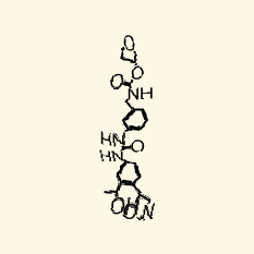 CC(O)c1cc(NC(=O)Nc2cccc(CNC(=O)O[C@H]3CCOC3)c2)ccc1C1CN=CO1